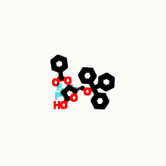 O=C(O[C@@H]1[C@H](COC(c2ccccc2)(c2ccccc2)c2ccccc2)OC(O)C1(F)F)c1ccccc1